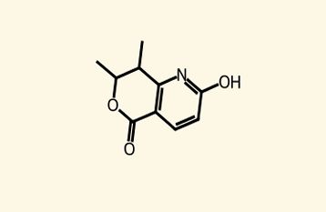 CC1OC(=O)c2ccc(O)nc2C1C